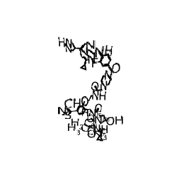 Cc1ncsc1-c1ccc(CNC(=O)[C@@H]2C[C@@H](O)CN2C(=O)[C@@H](NC(=O)C2(F)CC2)C(C)(C)C)c(OCCNC(=O)CN2CCN(C(=O)c3ccc(Nc4nc(C5CC5)cn5c(-c6cn[nH]c6)cnc45)c(F)c3)CC2)c1